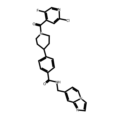 O=C(NCc1ccn2ccnc2c1)c1ccc(C2CCN(C(=O)c3cc(Cl)ncc3F)CC2)cc1